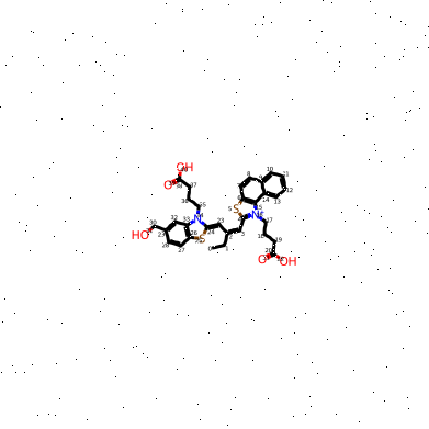 CCC(=Cc1sc2ccc3ccccc3c2[n+]1CCCC(=O)O)C=C1Sc2ccc(CO)cc2N1CCCC(=O)O